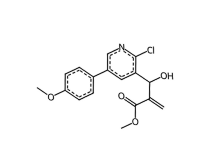 C=C(C(=O)OC)C(O)c1cc(-c2ccc(OC)cc2)cnc1Cl